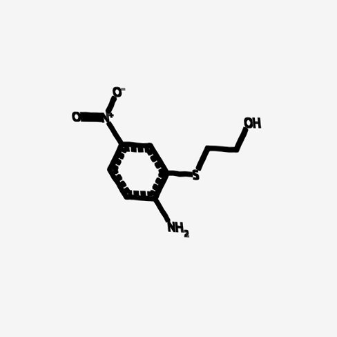 Nc1ccc([N+](=O)[O-])cc1SCCO